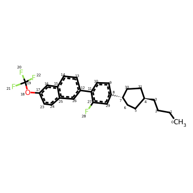 CCCC[C@H]1CC[C@H](c2ccc(-c3ccc4cc(OC(F)(F)F)ccc4c3)c(F)c2)CC1